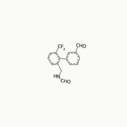 O=CNCc1cccc(C(F)(F)F)c1-c1cccc(C=O)c1